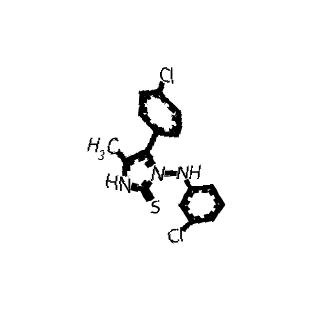 Cc1[nH]c(=S)n(Nc2cccc(Cl)c2)c1-c1ccc(Cl)cc1